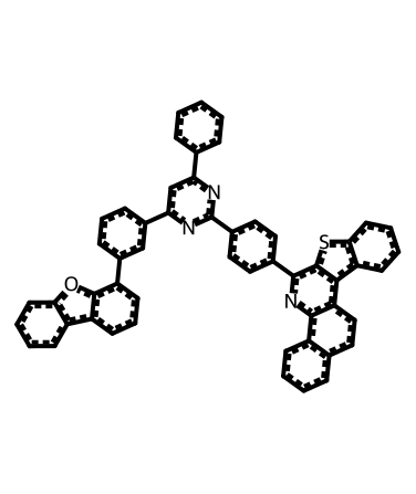 c1ccc(-c2cc(-c3cccc(-c4cccc5c4oc4ccccc45)c3)nc(-c3ccc(-c4nc5c6ccccc6ccc5c5c4sc4ccccc45)cc3)n2)cc1